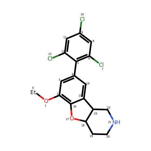 CCOc1cc(-c2c(Cl)cc(Cl)cc2Cl)cc2c1OC1CCNCC21